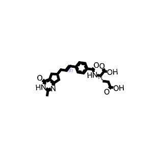 Cc1nc2c(c(=O)[nH]1)CC(C/C=C/c1ccc(C(=O)N[C@@H](CCC(=O)O)C(=O)O)cc1)C2